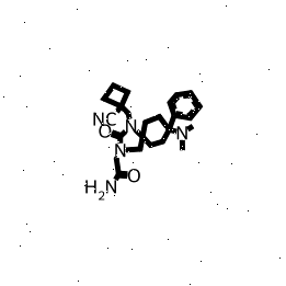 CN(C)C1(c2ccccc2)CCC2(CC1)CN(CC(N)=O)C(=O)N2CC1(C#N)CCC1